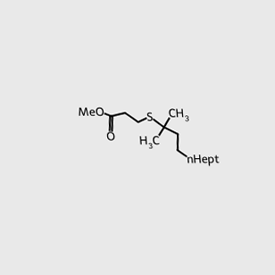 CCCCCCCCCC(C)(C)SCCC(=O)OC